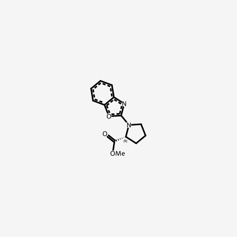 COC(=O)[C@H]1CCCN1c1nc2ccccc2o1